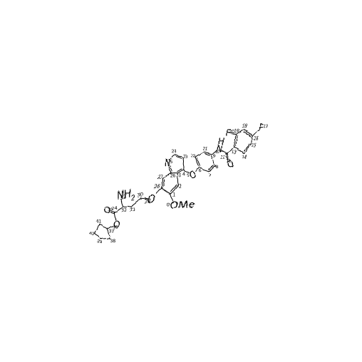 COc1cc2c(Oc3ccc(NC(=O)c4ccc(F)cc4F)cc3)ccnc2cc1OCCC(N)C(=O)OC1CCCC1